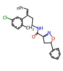 CCC/C=C(/CCNC(=O)C1=NOC(c2ccccc2)C1)c1cc(Cl)ccc1C